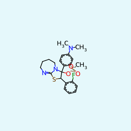 CN(C)c1ccc(C2(OS(C)(=O)=O)C(c3ccccc3F)SC3=NCCCCN32)cc1